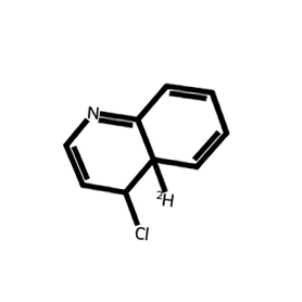 [2H]C12C=CC=CC1=NC=CC2Cl